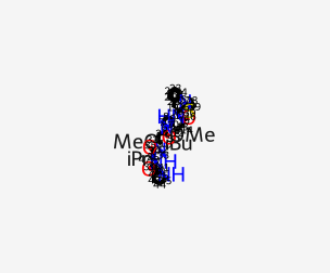 CC[C@H](C)[C@@H]([C@@H](CC(=O)N1CCC[C@H]1C(OC)[C@@H](C)C(=O)N[C@@H](Cc1ccccc1)c1nccs1)OC)N(C)C(=O)[C@@H](NC(=O)[C@]1(C)CCCCN1)C(C)C